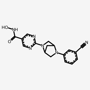 N#Cc1cccc(N2CC3CC2CN3c2ncc(C(=O)NO)cn2)c1